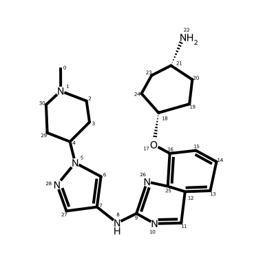 CN1CCC(n2cc(Nc3ncc4cccc(O[C@H]5CC[C@@H](N)CC5)c4n3)cn2)CC1